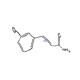 NC(=O)/C=C/c1cccc(Cl)c1